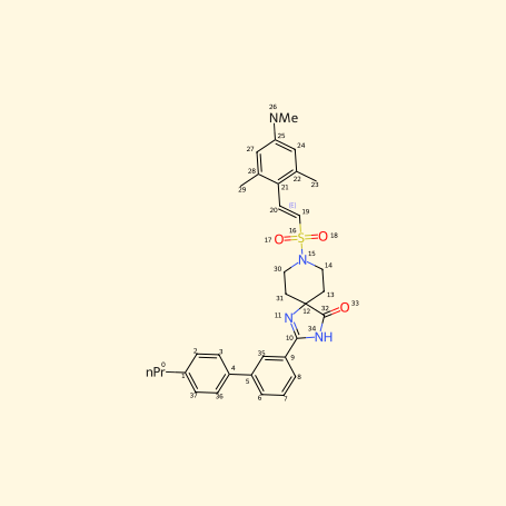 CCCc1ccc(-c2cccc(C3=NC4(CCN(S(=O)(=O)/C=C/c5c(C)cc(NC)cc5C)CC4)C(=O)N3)c2)cc1